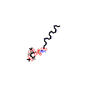 CC/C=C\C/C=C\C/C=C\C/C=C\C/C=C\C/C=C\CC(=O)ONS(=O)(=O)OC[C@@]12OC[C@H]3OC(C)(C)O[C@H]3[C@@H]1OC(C)(C)O2